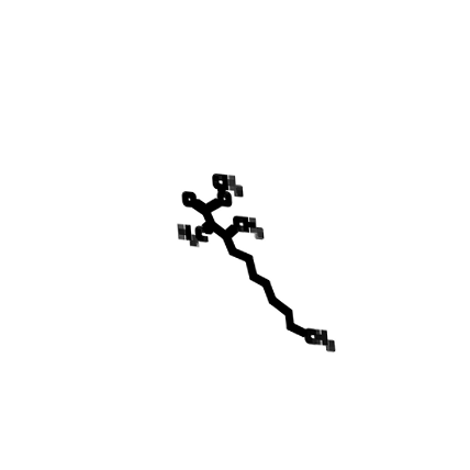 C=C(C(=O)OC)C(C)CCCCCCCC